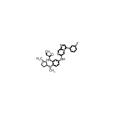 C=CC(=O)Nc1cc(Nc2cn3c(-c4cccc(F)c4)cnc3cn2)ccc1N(C)C1CCN(C)C1